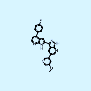 COc1cncc(-c2cnc3[nH]nc(-c4cc5c(-c6ccc(F)cc6)ccnc5[nH]4)c3c2)c1